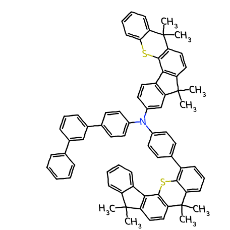 CC1(C)c2ccccc2Sc2c1ccc1c2-c2ccc(N(c3ccc(-c4cccc(-c5ccccc5)c4)cc3)c3ccc(-c4cccc5c4Sc4c(ccc6c4-c4ccccc4C6(C)C)C5(C)C)cc3)cc2C1(C)C